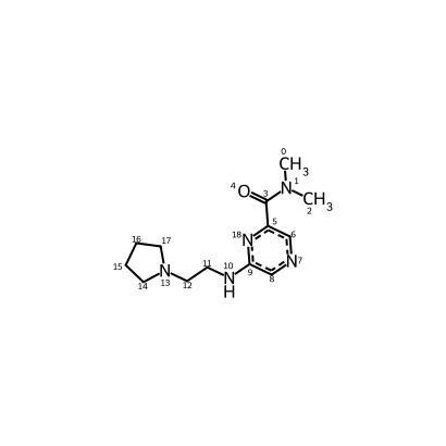 CN(C)C(=O)c1cncc(NCCN2CCCC2)n1